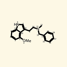 COc1cccc2[nH]cc(CCN(C)Cc3ccccc3)c12